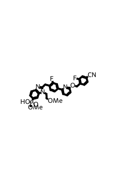 COCCn1c(Cc2ccc(-c3cccc(OCc4ccc(C#N)cc4F)n3)cc2F)nc2ccc(P(=O)(O)OC)cc21